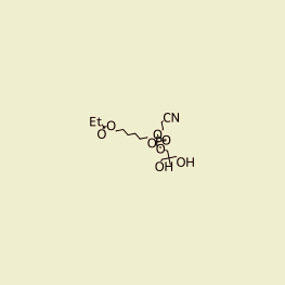 CCC(=O)OCCCCCCOP(=O)(OCCC#N)OCC(C)(CO)CO